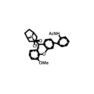 COc1cccc2c1Oc1cc(-c3ccccc3NC(C)=O)ccc1C2C1CC2CCC(C1)N2C(=O)C(F)(F)F